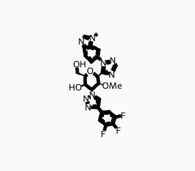 CO[C@@H]1[C@@H](n2cc(-c3cc(F)c(F)c(F)c3)nn2)[C@@H](O)[C@@H](CO)O[C@H]1c1ncnn1-c1ccc2ncn(C)c2c1